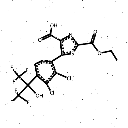 CCOC(=O)c1nc(C(=O)O)c(-c2ccc(C(O)(C(F)(F)F)C(F)(F)F)c(Cl)c2Cl)s1